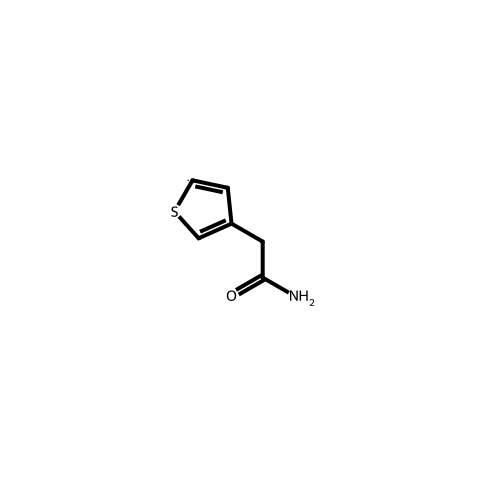 NC(=O)Cc1c[c]sc1